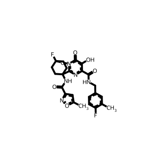 Cc1cc(C(=O)NC23CCC(F)(CC2)Cn2c3nc(C(=O)NCc3ccc(F)c(C)c3)c(O)c2=O)no1